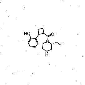 CC[C@@H]1CNCCN1C(=O)C1CCC1c1ccccc1O